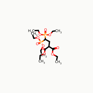 CCOC(=O)C(CC(P(=O)(OCC)OCC)P(=O)(OCC)OCC)C(=O)OCC